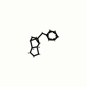 c1ccc(C[C]2CC3CC2C2CCCC32)cc1